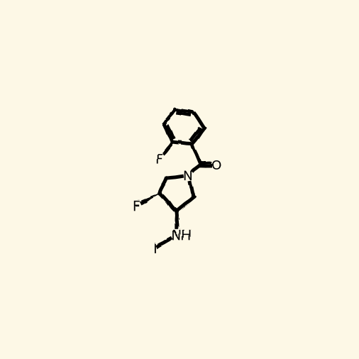 O=C(c1ccccc1F)N1CC(NI)[C@@H](F)C1